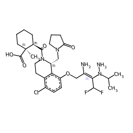 CC(C)N(N)/C(=C(\N)COc1ccc(Cl)c2c1[C@@H](CN1CCCC1=O)N(C(=O)[C@@H]1CCCC[C@]1(C)C(=O)O)CC2)C(F)F